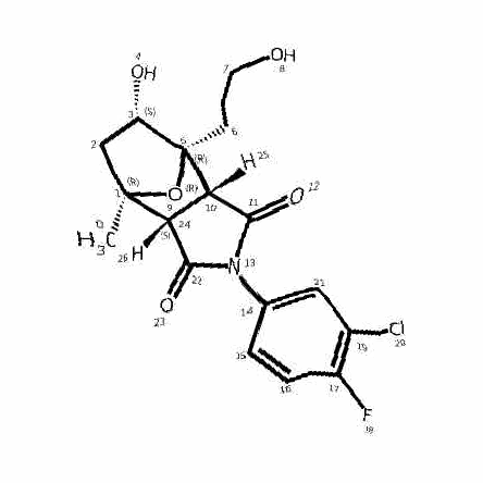 C[C@]12C[C@H](O)[C@](CCO)(O1)[C@@H]1C(=O)N(c3ccc(F)c(Cl)c3)C(=O)[C@@H]12